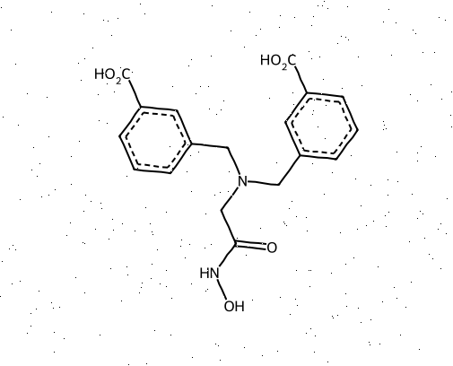 O=C(CN(Cc1cccc(C(=O)O)c1)Cc1cccc(C(=O)O)c1)NO